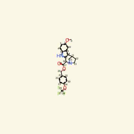 COc1ccc2[nH]c3c(c2c1)C1CCN(C1)C3C(=O)OCc1ccc(OC(F)(F)F)cc1